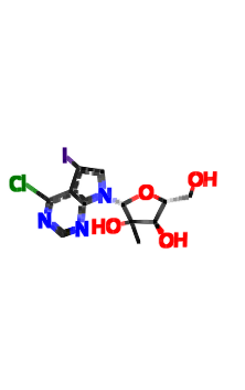 CC1(O)[C@H](O)[C@@H](CO)O[C@H]1n1cc(I)c2c(Cl)ncnc21